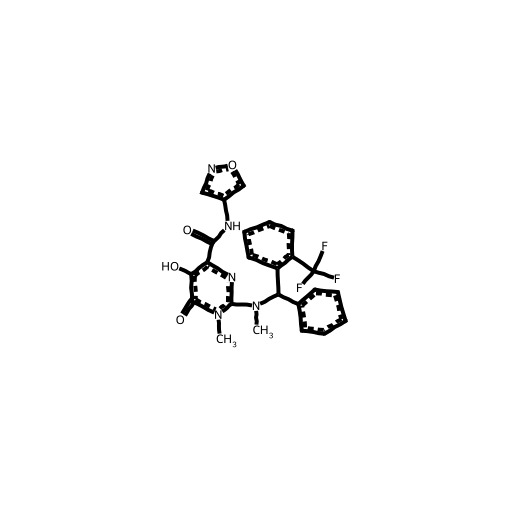 CN(c1nc(C(=O)Nc2cnoc2)c(O)c(=O)n1C)C(c1ccccc1)c1ccccc1C(F)(F)F